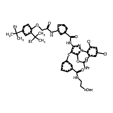 CCCCCCCCCCCCNC(=O)c1cccc(Sc2c(NC(=O)c3cccc(NC(=O)COc4ccc(C(C)(C)CC)cc4C(C)(C)CC)c3)nn(-c3c(Cl)cc(Cl)cc3Cl)c2OC(=O)CCC)c1